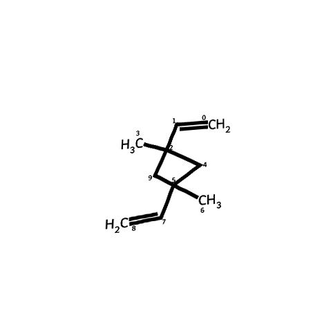 C=CC1(C)CC(C)(C=C)C1